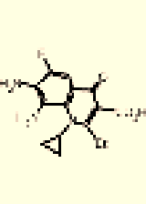 CCc1c(C(=O)O)c(=O)c2cc(F)c(N)c(N)c2n1C1CC1